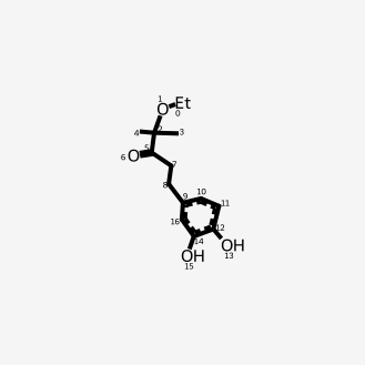 CCOC(C)(C)C(=O)CCc1ccc(O)c(O)c1